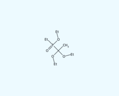 CCOC(C)(OCC)P(=O)(CC)OCC